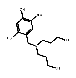 Cc1cc(O)c(C(C)(C)C)cc1CN(CCCO)CCCO